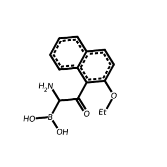 CCOc1ccc2ccccc2c1C(=O)C(N)B(O)O